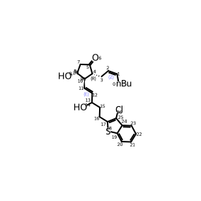 CCCC/C=C\C[C@H]1C(=O)C[C@@H](O)[C@@H]1/C=C/C(O)CCc1sc2ccccc2c1Cl